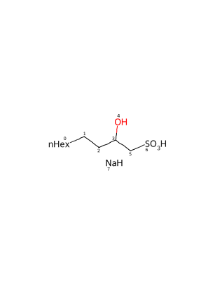 CCCCCCCCC(O)CS(=O)(=O)O.[NaH]